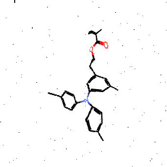 C=C(C)C(=O)OCCc1cc(C)cc(N(c2ccc(C)cc2)c2ccc(C)cc2)c1